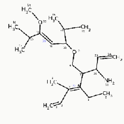 C=C/C(C)=C(\CC)C(COC(/C=C(\OC)C(C)C)C(C)C)C(N)C=C